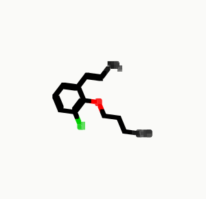 O=CCCCOc1c(Cl)cccc1/C=C/[N+](=O)[O-]